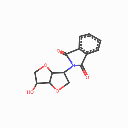 O=C1c2ccccc2C(=O)N1C1COC2C(O)COC21